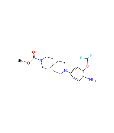 CC(C)(C)OC(=O)N1CCC2(CC1)CCN(c1ccc(N)c(OC(F)F)c1)CC2